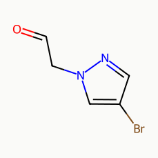 O=CCn1cc(Br)cn1